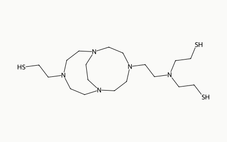 SCCN(CCS)CCN1CCN2CCN(CCS)CCN(CC1)CC2